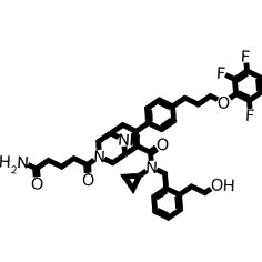 NC(=O)CCCC(=O)N1CC2CC(c3ccc(CCCOc4c(F)ccc(F)c4F)cc3)=C(C(=O)N(Cc3ccccc3CCO)C3CC3)C(C1)N2